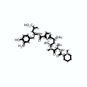 CC[C@H](C)[C@@H](NC(=O)[C@@H]1CCCCN1C)C(=O)N(C)[C@H](C[C@@H](OC(C)=O)c1nc(C(=O)N[C@@H](Cc2ccc(O)c(N)c2)CC(C)C(=O)O)cs1)C(C)C